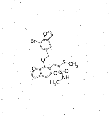 CNS(=O)(=O)C(=Cc1ccc2ccoc2c1OCc1cc(Br)c2occc2c1)SC